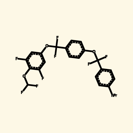 CCCc1ccc(C(F)(F)Oc2ccc(C(F)(F)Oc3cc(F)c(OC(F)F)c(F)c3)cc2)cc1